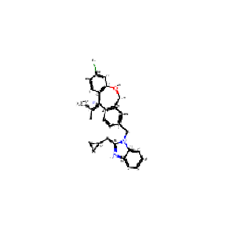 C/C(C#N)=C1\c2ccc(Cn3c(CC4CC4)nc4ccccc43)cc2COc2cc(F)ccc21